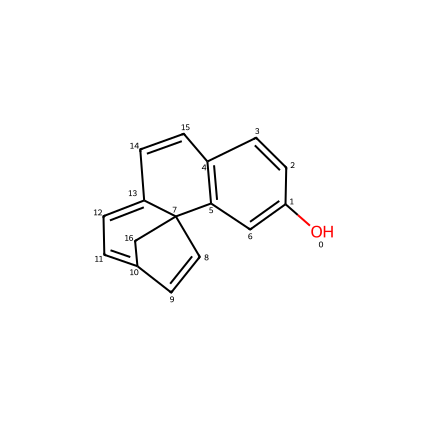 Oc1ccc2c(c1)C13C=CC(=CC=C1C=C2)C3